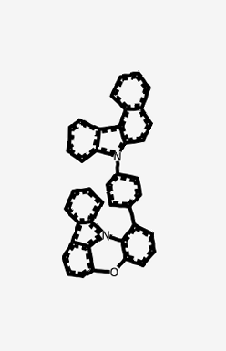 c1cc2c(c(-c3ccc(-n4c5ccccc5c5c6ccccc6ccc54)cc3)c1)-n1c3ccccc3c3cccc(c31)O2